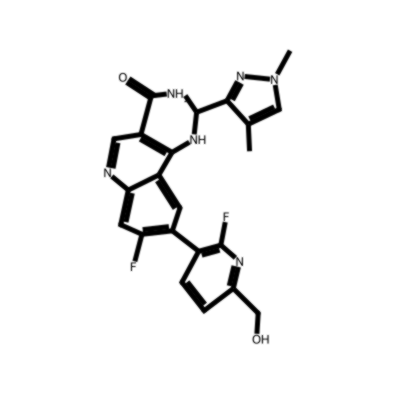 Cc1cn(C)nc1C(C)Nc1c(C(N)=O)cnc2cc(F)c(-c3ccc(CO)nc3F)cc12